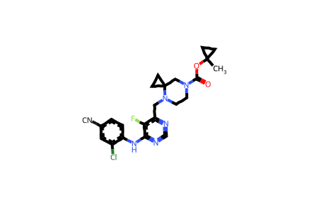 [C-]#[N+]c1ccc(Nc2ncnc(CN3CCN(C(=O)OC4(C)CC4)CC34CC4)c2F)c(Cl)c1